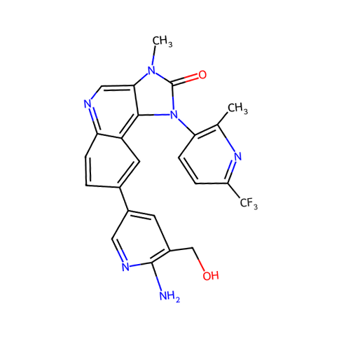 Cc1nc(C(F)(F)F)ccc1-n1c(=O)n(C)c2cnc3ccc(-c4cnc(N)c(CO)c4)cc3c21